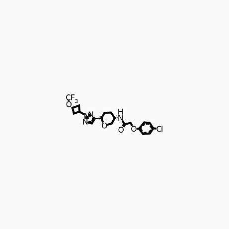 O=C(COc1ccc(Cl)cc1)N[C@H]1CC[C@H](c2cnn(C3CC(OC(F)(F)F)C3)n2)OC1